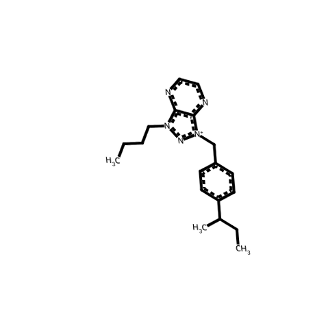 CCCCn1n[n+](Cc2ccc(C(C)CC)cc2)c2nccnc21